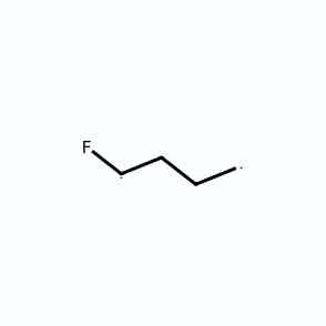 [CH2]CC[CH]F